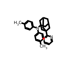 Cc1ccc(N(c2ccc(C)cc2)C23CC4CC(CC(c5ncccn5)(C4)C2)C3)cc1